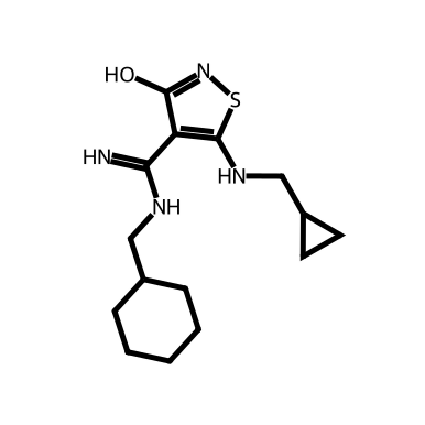 N=C(NCC1CCCCC1)c1c(O)nsc1NCC1CC1